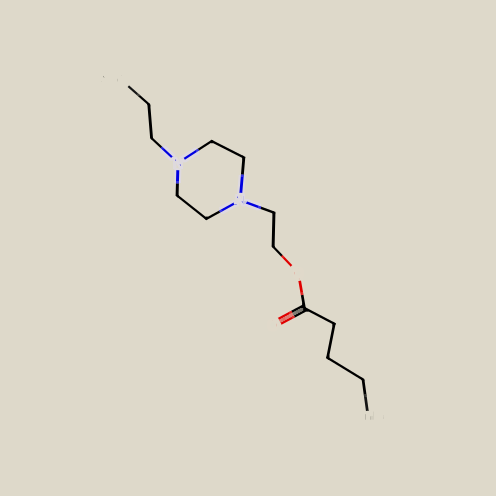 CCCCCCCCCCCCCC(=O)OCCN1CCN(CCOC(C)=O)CC1